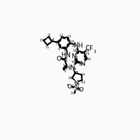 C=CC(=O)Nc1cc(C2CCC2)ccc1Nc1nc(N[C@H]2CCN(S(C)(=O)=O)C2)ncc1C(F)(F)F